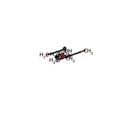 CC(=O)OCCC1CCCCC1.CC(C(=O)OC1CCCCC1)C(=O)c1ccccc1.CCCCCCCCCCCCCCCCCCC1CCCCC1C(=O)O.CCCCCCCCCCCCCCCCCCOC(=O)C(C)C1CCCCC1